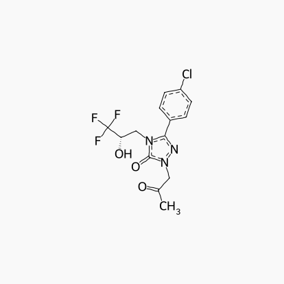 CC(=O)Cn1nc(-c2ccc(Cl)cc2)n(C[C@H](O)C(F)(F)F)c1=O